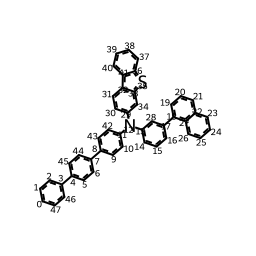 c1ccc(-c2ccc(-c3ccc(N(c4cccc(-c5cccc6ccccc56)c4)c4ccc5c(c4)sc4ccccc45)cc3)cc2)cc1